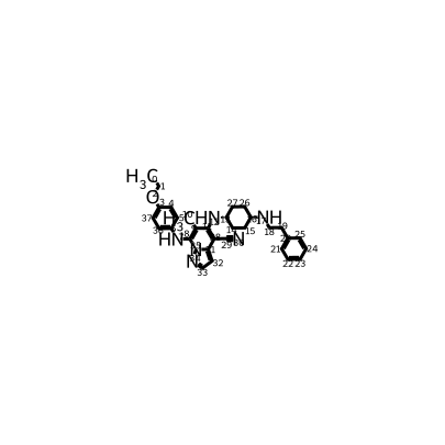 CCOc1ccc(Nc2c(C)c(N[C@H]3CC[C@H](NCCc4ccccc4)CC3)c(C#N)c3ccnn23)cc1